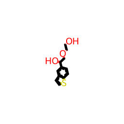 OCCOCC(O)c1ccc2sccc2c1